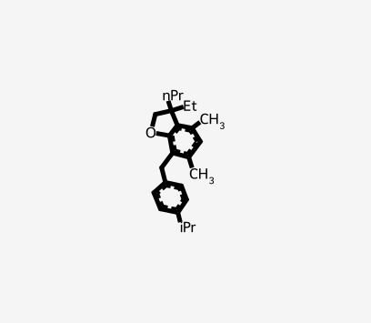 CCCC1(CC)COc2c(Cc3ccc(C(C)C)cc3)c(C)cc(C)c21